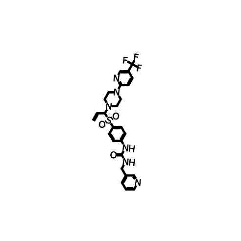 C=CC(N1CCN(c2ccc(C(F)(F)F)cn2)CC1)S(=O)(=O)c1ccc(NC(=O)NCc2cccnc2)cc1